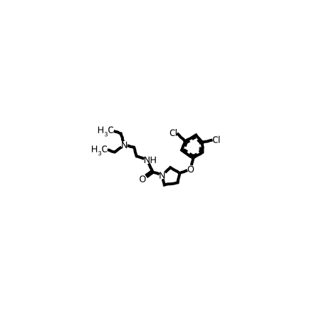 CCN(CC)CCNC(=O)N1CCC(Oc2cc(Cl)cc(Cl)c2)C1